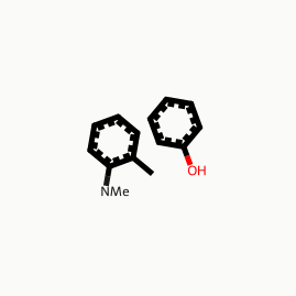 CNc1ccccc1C.Oc1ccccc1